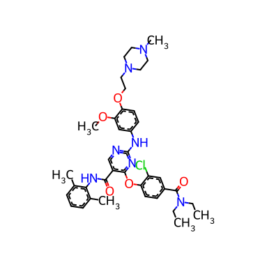 CCN(CC)C(=O)c1ccc(Oc2nc(Nc3ccc(OCCN4CCN(C)CC4)c(OC)c3)ncc2C(=O)Nc2c(C)cccc2C)c(Cl)c1